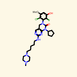 COc1cc(O)c(F)c(N2Cc3cnc(NCCCCCN4CCN(C)CC4)nc3N(C3CCCC3)C2=O)c1Cl